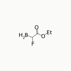 BC(F)C(=O)OCC